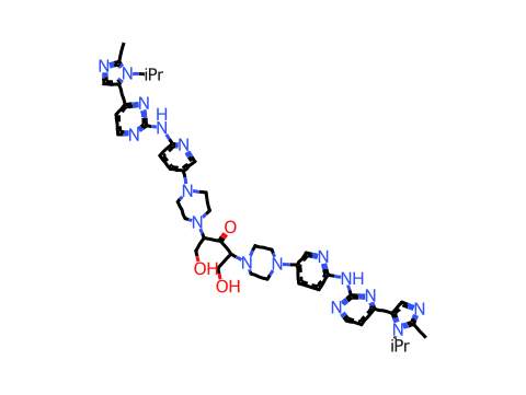 Cc1ncc(-c2ccnc(Nc3ccc(N4CCN(C(CO)C(=O)C(CO)N5CCN(c6ccc(Nc7nccc(-c8cnc(C)n8C(C)C)n7)nc6)CC5)CC4)cn3)n2)n1C(C)C